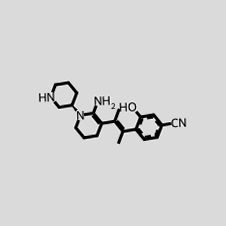 C/C(C1=C(N)N([C@@H]2CCCNC2)CCC1)=C(/C)c1ccc(C#N)cc1O